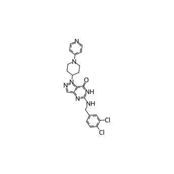 O=c1[nH]c(NCc2ccc(Cl)c(Cl)c2)nc2cnn(C3CCN(c4ccncc4)CC3)c12